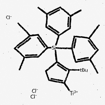 Cc1cc(C)cc([Si](C2=C(C(C)(C)C)[C]([Ti+3])=CC2)(c2cc(C)cc(C)c2)c2cc(C)cc(C)c2)c1.[Cl-].[Cl-].[Cl-]